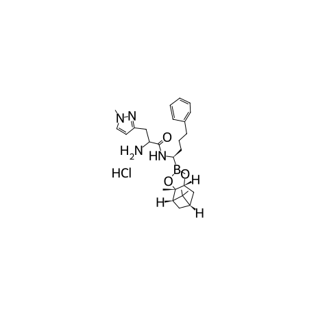 Cl.Cn1ccc(CC(N)C(=O)N[C@@H](CCCc2ccccc2)B2O[C@@H]3C[C@@H]4C[C@@H](C4(C)C)[C@]3(C)O2)n1